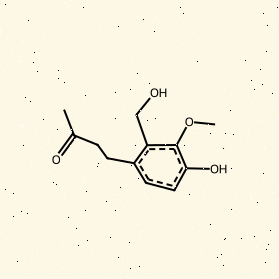 COc1c(O)ccc(CCC(C)=O)c1CO